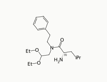 CCOC(CN(CCc1ccccc1)C(=O)[C@@H](N)CC(C)C)OCC